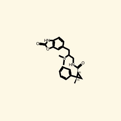 CN(C)C(CNC(=O)[C@@H]1C[C@]1(C)c1ccccc1)Cc1ccc2[nH]c(=O)oc2c1